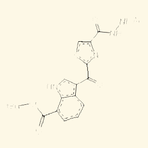 CC(=O)NNC(=O)c1csc(C(=O)c2c[nH]c3c(C(=O)OC(C)(C)C)cccc23)n1